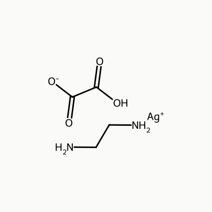 NCCN.O=C([O-])C(=O)O.[Ag+]